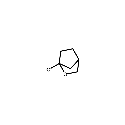 [O]C12CCC(CO1)C2